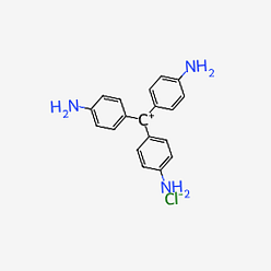 Nc1ccc([C+](c2ccc(N)cc2)c2ccc(N)cc2)cc1.[Cl-]